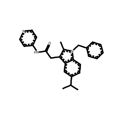 Cc1c(CC(=O)Nc2ccncc2)c2cc(C(C)C)ccc2n1Cc1ccccc1